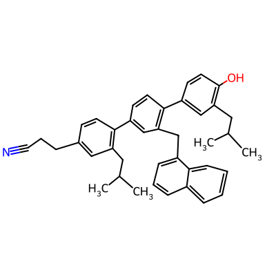 CC(C)Cc1cc(-c2ccc(-c3ccc(CCC#N)cc3CC(C)C)cc2Cc2cccc3ccccc23)ccc1O